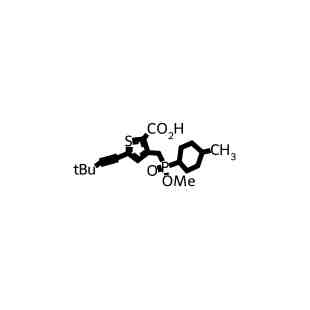 COP(=O)(Cc1cc(C#CC(C)(C)C)sc1C(=O)O)C1CCC(C)CC1